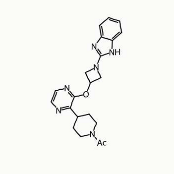 CC(=O)N1CCC(c2nccnc2OC2CN(c3nc4ccccc4[nH]3)C2)CC1